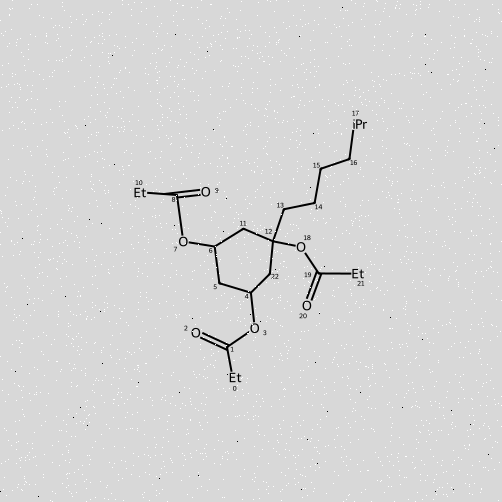 CCC(=O)OC1CC(OC(=O)CC)CC(CCCCC(C)C)(OC(=O)CC)C1